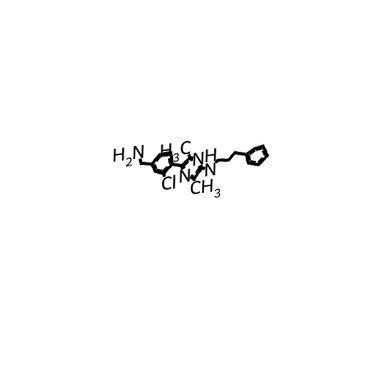 Cc1nc(-c2ccc(CN)cc2Cl)c(C)nc1NCCCc1ccccc1